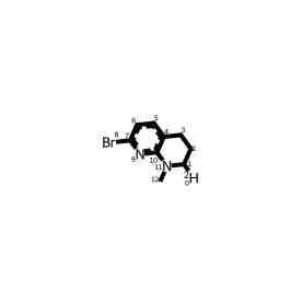 [2H]C1CCc2ccc(Br)nc2N1C